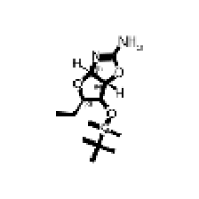 CC[C@H]1O[C@H]2N=C(N)O[C@@H]2C1O[Si](C)(C)C(C)(C)C